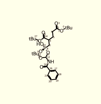 CC(C)(C)OC(=O)CCC(CP(=O)(O)OC(NC(=O)c1ccccc1)OC(C)(C)C)C(=O)OC(C)(C)C